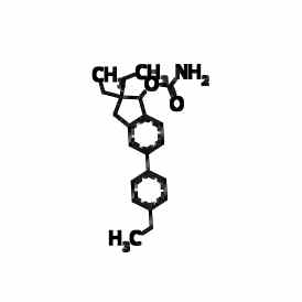 CCc1ccc(-c2ccc3c(c2)CC(CC)(CC)C3OC(N)=O)cc1